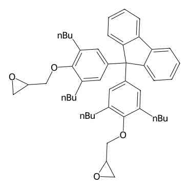 CCCCc1cc(C2(c3cc(CCCC)c(OCC4CO4)c(CCCC)c3)c3ccccc3-c3ccccc32)cc(CCCC)c1OCC1CO1